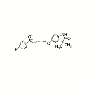 CC1(C)C(=O)Nc2ccc(OCCCC[S+]([O-])c3ccc(F)cc3)cc21